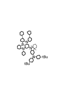 CC(C)(C)c1ccc(N(c2ccc(C(C)(C)C)cc2)c2ccc3c(c2)C2(C)CCCCC2(C)N3c2cc3c4c(c2)N(c2cccc(-c5ccccc5)c2)c2cc(-c5ccccc5)ccc2B4c2ccccc2N3c2ccccc2)cc1